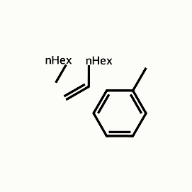 C=CCCCCCC.CCCCCCC.Cc1ccccc1